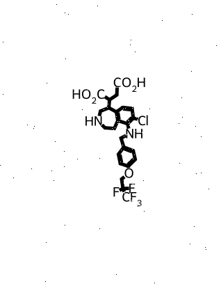 O=C(O)CC(C(=O)O)C1CNCCc2c1ccc(Cl)c2NCc1ccc(OCC(F)(F)C(F)(F)F)cc1